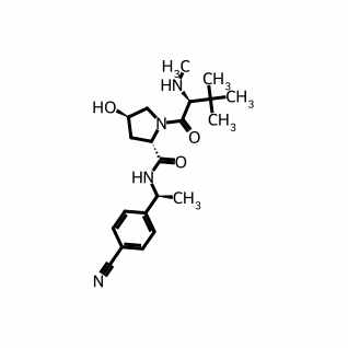 CN[C@H](C(=O)N1C[C@H](O)C[C@H]1C(=O)N[C@@H](C)c1ccc(C#N)cc1)C(C)(C)C